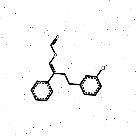 O=CO/C=C(\CCc1cccc(Cl)c1)c1ccccc1